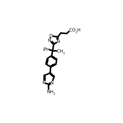 CC(C)C(C)(c1ccc(-c2cnc(N)nc2)cc1)c1noc(CCC(=O)O)n1